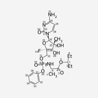 CCC(CC)OC(=O)[C@H](C)N[P@@](=O)(OC[C@@]1(F)O[C@@H](n2ccc(N)nc2=O)[C@](C)(O)[C@@H]1O)Oc1ccccc1